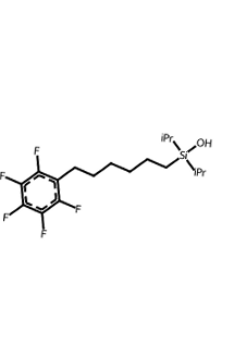 CC(C)[Si](O)(CCCCCCc1c(F)c(F)c(F)c(F)c1F)C(C)C